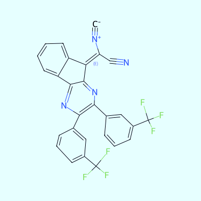 [C-]#[N+]/C(C#N)=C1\c2ccccc2-c2nc(-c3cccc(C(F)(F)F)c3)c(-c3cccc(C(F)(F)F)c3)nc21